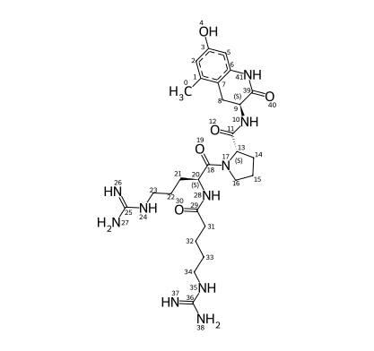 Cc1cc(O)cc2c1C[C@H](NC(=O)[C@@H]1CCCN1C(=O)[C@H](CCCNC(=N)N)NC(=O)CCCCNC(=N)N)C(=O)N2